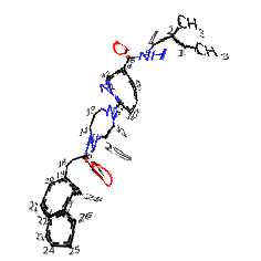 CCC(C)CNC(=O)c1ccc(N2CCN(C(=O)Cc3ccc4ccccc4c3)CC2)nc1